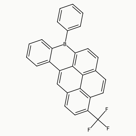 FC(F)(F)c1ccc2cc3c4c(ccc5ccc1c2c54)B(c1ccccc1)c1ccccc1-3